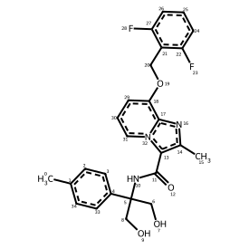 Cc1ccc(C(CO)(CO)NC(=O)c2c(C)nc3c(OCc4c(F)cccc4F)cccn23)cc1